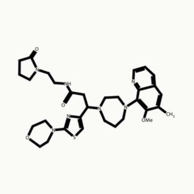 COc1c(C)cc2cccnc2c1N1CCCN(C(CC(=O)NCCN2CCCC2=O)c2csc(N3CCOCC3)n2)CC1